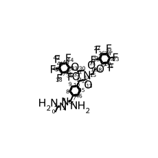 C/C(N)=N/N=C(\N)c1ccc(CC(=O)N(CC(=O)Oc2c(F)c(F)c(F)c(F)c2F)CC(=O)Oc2c(F)c(F)c(F)c(F)c2F)cc1